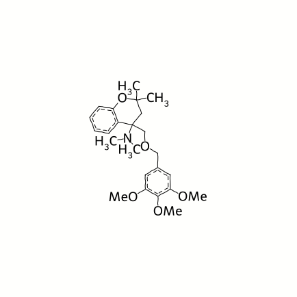 COc1cc(COCC2(N(C)C)CC(C)(C)Oc3ccccc32)cc(OC)c1OC